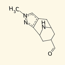 Cn1cc2c(n1)C1CC(C=O)CC(C2)N1